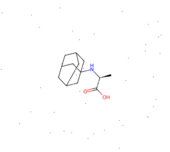 C[C@H](NC12CC3CC(CC(C3)C1)C2)C(=O)O